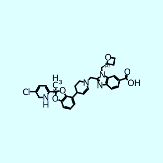 C[C@]1(C2=CC=C(Cl)CN2)Oc2cccc(C3C=CN(Cc4nc5ccc(C(=O)O)cc5n4C[C@@H]4CCO4)CC3)c2O1